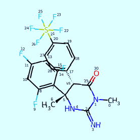 CN1C(=N)N[C@](C)(c2c(F)cc(F)cc2F)[C@H](c2ccc(S(F)(F)(F)(F)F)cc2)C1=O